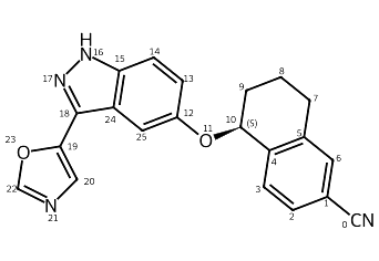 N#Cc1ccc2c(c1)CCC[C@@H]2Oc1ccc2[nH]nc(-c3cnco3)c2c1